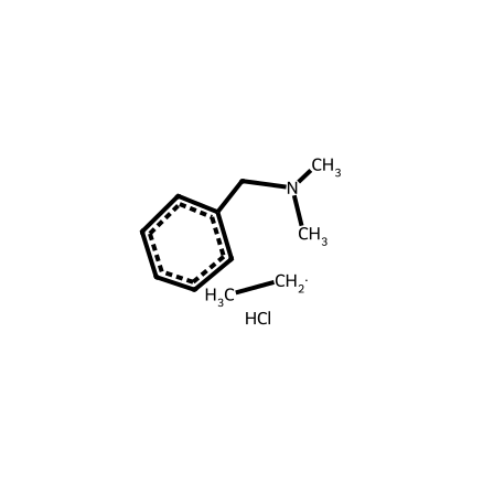 CN(C)Cc1ccccc1.Cl.[CH2]C